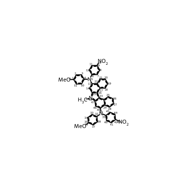 COc1ccc(N(c2ccc([N+](=O)[O-])cc2)c2cc3c(c4ccccc24)c2c4ccccc4c(N(c4ccc(OC)cc4)c4ccc([N+](=O)[O-])cc4)cc2n3C)cc1